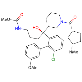 CN[C@H]1CC[C@@H](C(=O)N2CCC[C@@H]([C@@](O)(CCCNC(=O)OC)c3cccc(Cl)c3-c3cccc(OC)c3)C2)C1